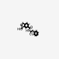 O=C(N[C@H](Cc1ccccc1)C(=O)O)c1ccc2c(c1)B(O)OC2